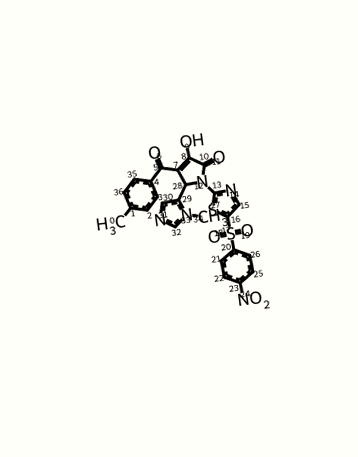 Cc1ccc(C(=O)C2=C(O)C(=O)N(c3ncc(S(=O)(=O)c4ccc([N+](=O)[O-])cc4)s3)C2c2cncn2C)cc1